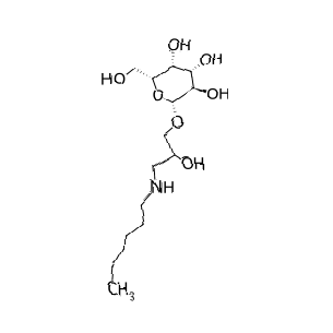 CCCCCCNCC(O)CO[C@@H]1O[C@H](CO)[C@H](O)[C@H](O)[C@H]1O